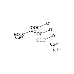 O=C([O-])[O-].O=C([O-])[O-].O=C([O-])[O-].O=S(=O)(O)O.[Co+2].[Cu+2].[Ni+2]